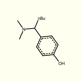 CCCCC(c1ccc(O)cc1)N(C)C